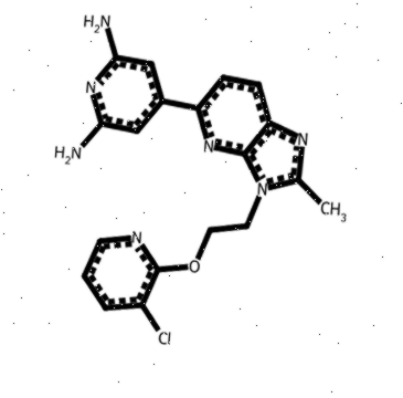 Cc1nc2ccc(-c3cc(N)nc(N)c3)nc2n1CCOc1ncccc1Cl